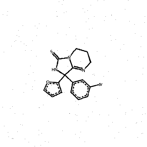 S=C1NC(c2cccc(Br)c2)(c2ccco2)C2=NCCCN12